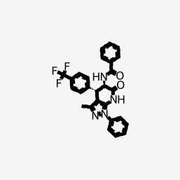 Cc1nn(-c2ccccc2)c2c1[C@H](c1ccc(C(F)(F)F)cc1)[C@@H](NC(=O)c1ccccc1)C(=O)N2